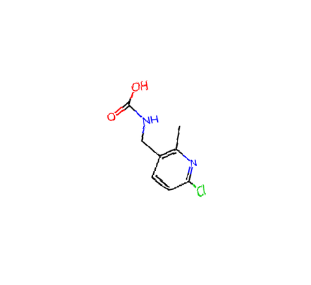 Cc1nc(Cl)ccc1CNC(=O)O